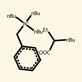 CCCCC(CC)C(=O)[O-].CCCC[N+](CCCC)(CCCC)Cc1ccccc1